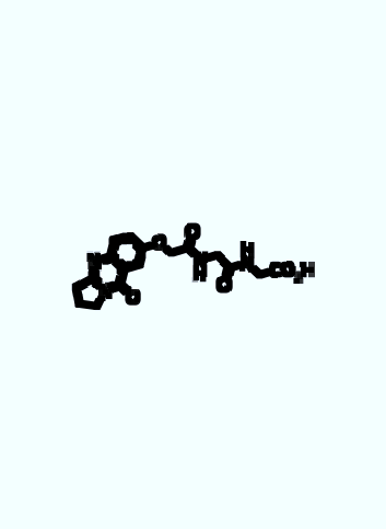 O=C(O)CNC(=O)CNC(=O)COc1ccc2nc3n(c(=O)c2c1)CCC3